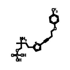 CC(N)(CCc1ccc(C#CCCOc2ccc(C(F)(F)F)cc2)s1)COP(=O)(O)O